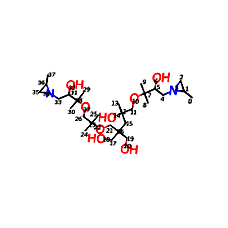 CC1CN1CC(O)C(C)(C)OCC(C)(O)CC(CO)(CO)COC(C)(C)COC(C)(C)C(O)CN1CC1C